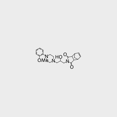 COc1ccccc1N1CCN(CC(O)CN2C(=O)C3C4C=CC(C4)C3C2=O)CC1